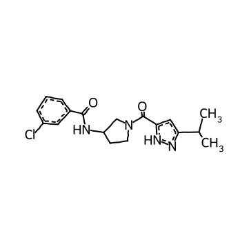 CC(C)c1cc(C(=O)N2CCC(NC(=O)c3cccc(Cl)c3)C2)[nH]n1